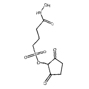 O=C(CCCS(=O)(=O)OC1C(=O)CCC1=O)NO